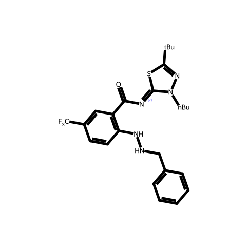 CCCCn1nc(C(C)(C)C)s/c1=N\C(=O)c1cc(C(F)(F)F)ccc1NNCc1ccccc1